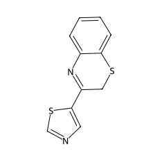 c1ccc2c(c1)N=C(c1cncs1)CS2